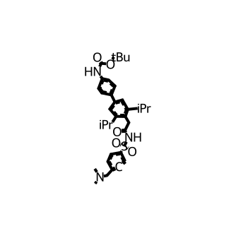 CC(C)c1cc(-c2ccc(NC(=O)OC(C)(C)C)cc2)cc(C(C)C)c1CC(=O)NS(=O)(=O)c1ccc(CN(C)C)cc1